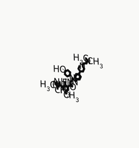 Cc1cc(C(=O)Nc2nc3ccc(C4CCN(CCN(C)C)CC4)cc3n2[C@H]2CC[C@@H](O)CC2)c(F)c(-c2cnn(C)c2C)n1